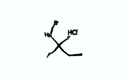 CCC(F)(F)NBr.Cl